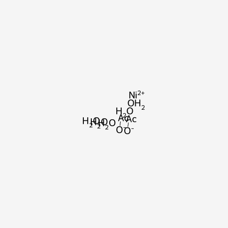 CC(=O)[O-].CC(=O)[O-].O.O.O.O.O.[Ni+2]